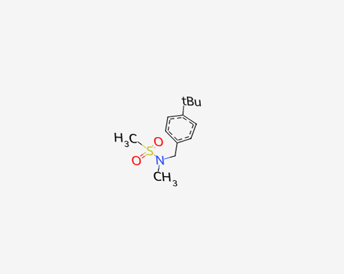 CN(Cc1ccc(C(C)(C)C)cc1)S(C)(=O)=O